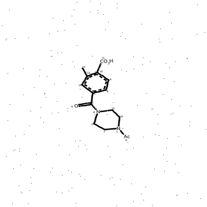 CC(=O)N1CCN(C(=O)c2ccc(C(=O)O)c(C)c2)CC1